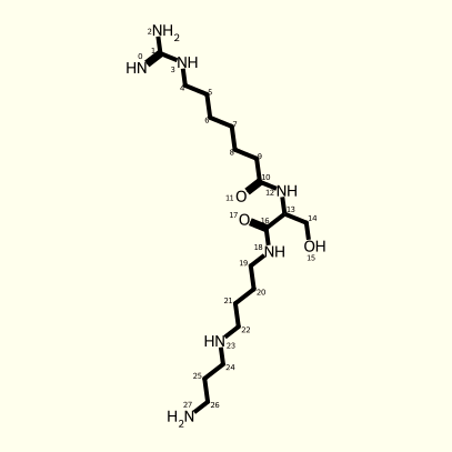 N=C(N)NCCCCCCC(=O)NC(CO)C(=O)NCCCCNCCCN